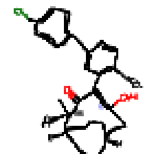 CCc1ccc(-c2ccc(Cl)cc2)cc1/C1=C(\O)C[C@H]2CC[C@H](CC2)[C@H](C)C1=O